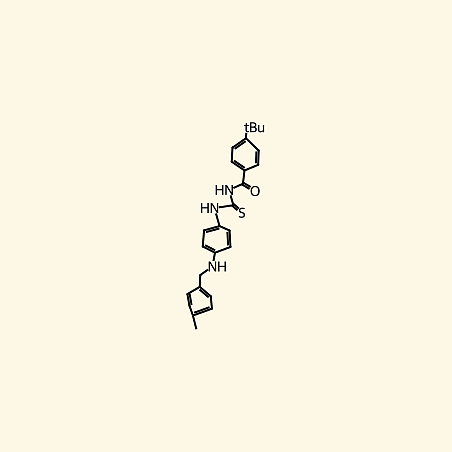 Cc1ccc(CNc2ccc(NC(=S)NC(=O)c3ccc(C(C)(C)C)cc3)cc2)cc1